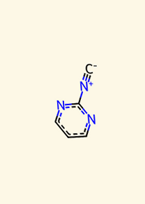 [C-]#[N+]c1ncccn1